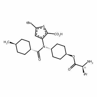 CC(C)[C@H](N)C(=O)O[C@H]1CC[C@H](N(c2cc(C(C)(C)C)sc2C(=O)O)C(=O)[C@H]2CC[C@H](C)CC2)CC1